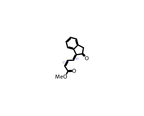 COC(=O)/C=C\C=C1\C(=O)Cc2ccccc21